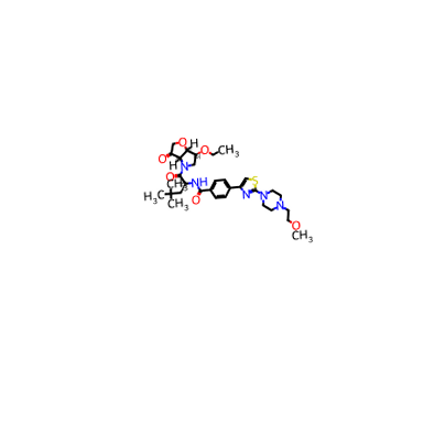 CCO[C@H]1CN(C(=O)[C@H](CC(C)(C)C)NC(=O)c2ccc(-c3csc(N4CCN(CCOC)CC4)n3)cc2)[C@@H]2C(=O)CO[C@H]12